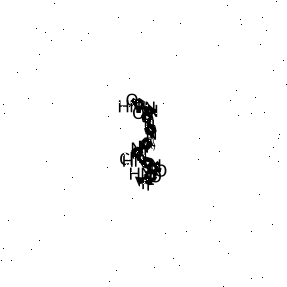 C[C@H]1CN(c2ncc(Cl)c(Nc3ccc4c(c3)c3c(c(=O)n4C)OCC(F)(F)[C@H](C4CC4)N3)n2)CC[C@@H]1CN1CCN(c2ccc3c(C4CCC(=O)NC4=O)nn(C)c3c2)CC1